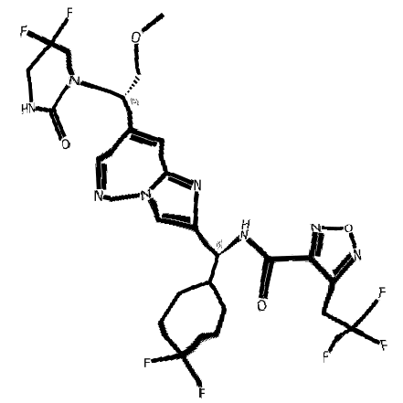 COC[C@H](c1cnn2cc([C@@H](NC(=O)c3nonc3CC(F)(F)F)C3CCC(F)(F)CC3)nc2c1)N1CC(F)(F)CNC1=O